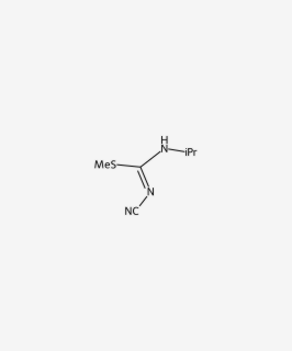 CS/C(=N\C#N)NC(C)C